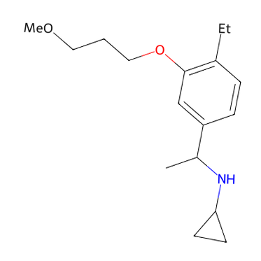 CCc1ccc(C(C)NC2CC2)cc1OCCCOC